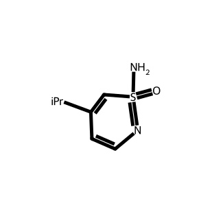 CC(C)C1=CS(N)(=O)=NC=C1